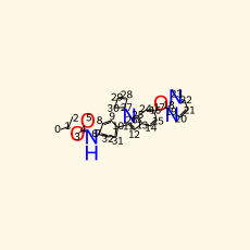 CC(C)OC(=O)Nc1ccc(-c2cc3ccc(Oc4ncccn4)cc3n2C2CCC2)cc1